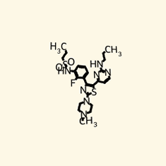 CCCNc1nccc(-c2sc(N3CCN(C)CC3)nc2-c2cccc(NS(=O)(=O)CCC)c2F)n1